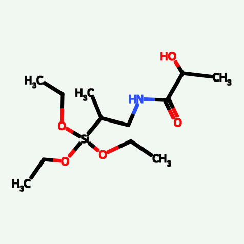 CCO[Si](OCC)(OCC)C(C)CNC(=O)C(C)O